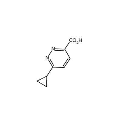 O=C(O)c1ccc(C2CC2)nn1